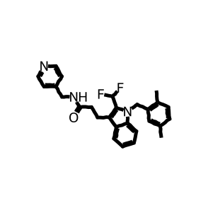 Cc1ccc(C)c(Cn2c(C(F)F)c(CCC(=O)NCc3ccncc3)c3ccccc32)c1